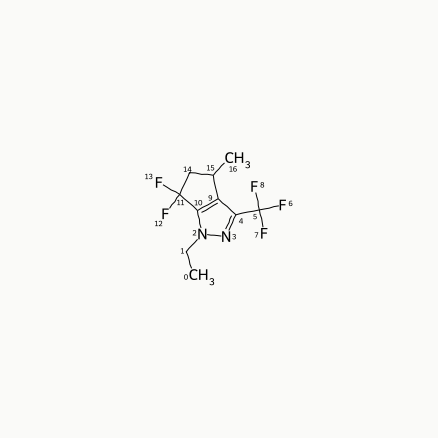 CCn1nc(C(F)(F)F)c2c1C(F)(F)CC2C